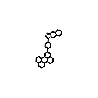 C1=Cc2cccc3c2c(c2c4c(cc(-c5ccc(-c6cnc7cc8ccccc8cn67)cc5)cc43)C=CC2)C1